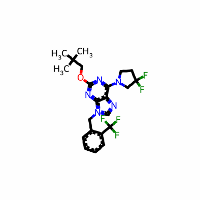 CC(C)(C)COc1nc(N2CCC(F)(F)C2)c2ncn(Cc3ccccc3C(F)(F)F)c2n1